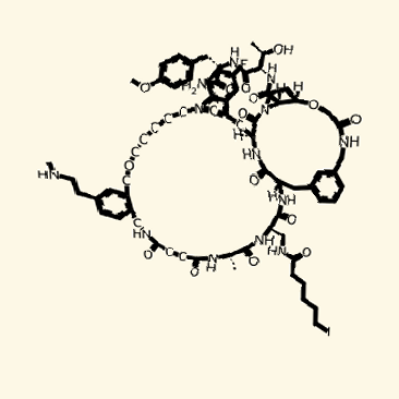 CNCCc1ccc2c(c1)COCCCCCn1cc(c3cc(F)ccc31)C[C@@H]1NC(=O)[C@H](Cc3cccc(c3)CNC(=O)CO[C@H]3CCN(C1=O)[C@@H]3C(=O)N[C@H](C(=O)N[C@@H](Cc1ccc(OC)cc1)C(N)=O)[C@@H](C)O)NC(=O)[C@@H](CNC(=O)CCCCCI)NC(=O)[C@H](C)NC(=O)CCC(=O)NC2